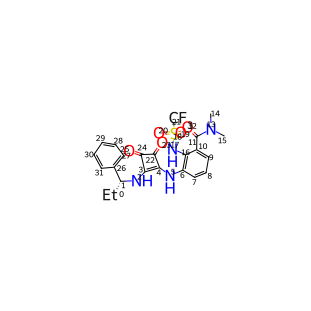 CC[C@@H](Nc1c(Nc2cccc(C(=O)N(C)C)c2NS(=O)(=O)C(F)(F)F)c(=O)c1=O)c1ccccc1